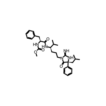 COC(=O)N[C@@H](Cc1ccccc1)C(=O)N[C@H](CCCN1C(=N)N[C@](CC(C)C)(c2ccccc2)C1=O)C(C)C